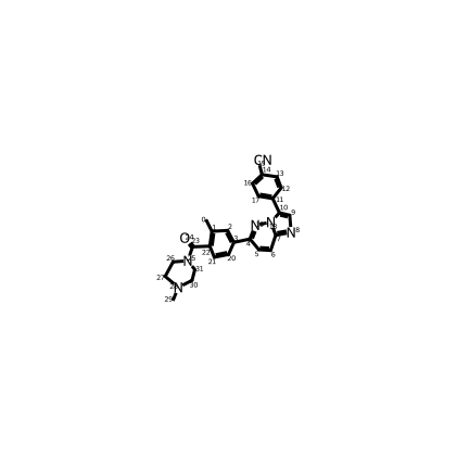 Cc1cc(-c2ccc3ncc(-c4ccc(C#N)cc4)n3n2)ccc1C(=O)N1CCN(C)CC1